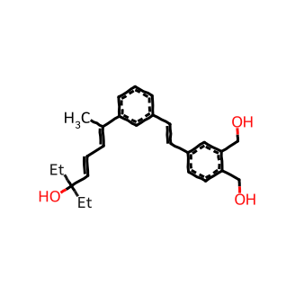 CCC(O)(C=CC=C(C)c1cccc(C=Cc2ccc(CO)c(CO)c2)c1)CC